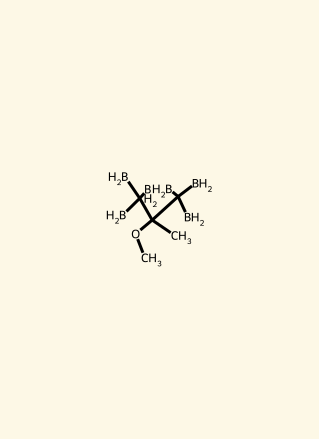 BC(B)(B)C(C)(OC)C(B)(B)B